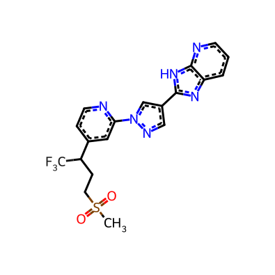 CS(=O)(=O)CCC(c1ccnc(-n2cc(-c3nc4cccnc4[nH]3)cn2)c1)C(F)(F)F